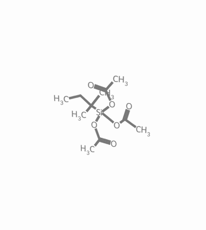 CCC(C)(C)[Si](OC(C)=O)(OC(C)=O)OC(C)=O